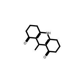 CC1C2=C(CCCC2=O)NC2=C1C(=O)CCC2